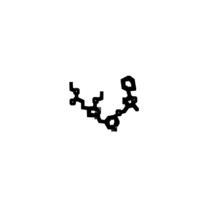 CCOC(=O)CCc1cn(Cc2cncc(OCc3nc(-c4ccccc4)oc3C)c2)nc1OCC